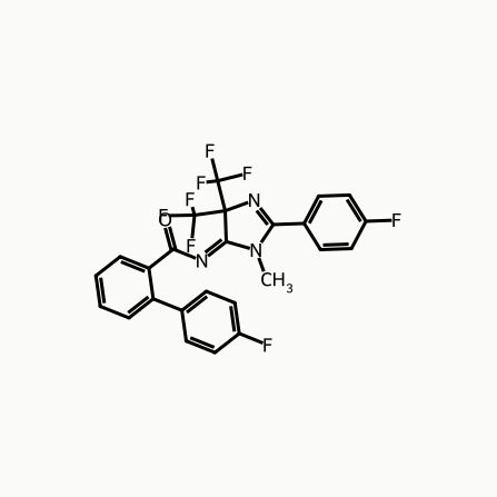 CN1C(c2ccc(F)cc2)=NC(C(F)(F)F)(C(F)(F)F)C1=NC(=O)c1ccccc1-c1ccc(F)cc1